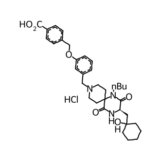 CCCCN1C(=O)[C@@H](CC2(O)CCCCC2)NC(=O)C12CCN(Cc1cccc(OCc3ccc(C(=O)O)cc3)c1)CC2.Cl